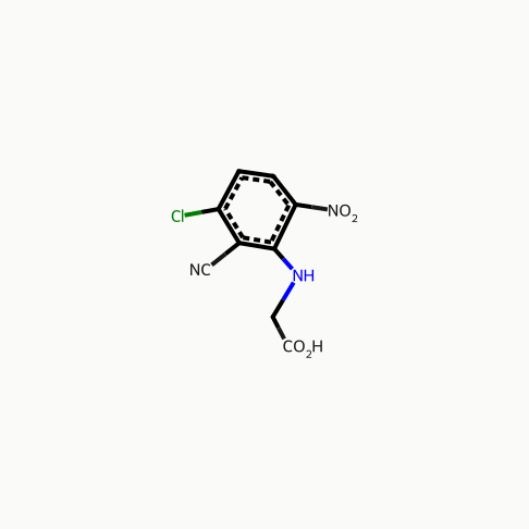 N#Cc1c(Cl)ccc([N+](=O)[O-])c1NCC(=O)O